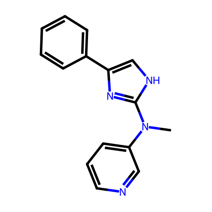 CN(c1cccnc1)c1nc(-c2ccccc2)c[nH]1